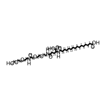 O=C(O)CCCCCCCCCCCCCCC(=O)NC(CCC(=O)NCCOCCOCC(=O)NCCOCCOCO)C(=O)O